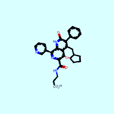 O=C(O)CCNC(=O)c1nc(-c2cccnc2)c2[nH]c(=O)c(-c3ccccc3)c(CC3CCCC3)c2c1O